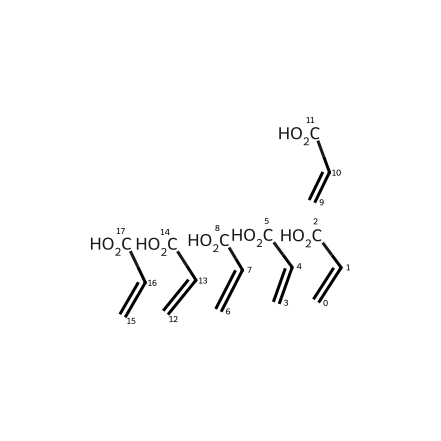 C=CC(=O)O.C=CC(=O)O.C=CC(=O)O.C=CC(=O)O.C=CC(=O)O.C=CC(=O)O